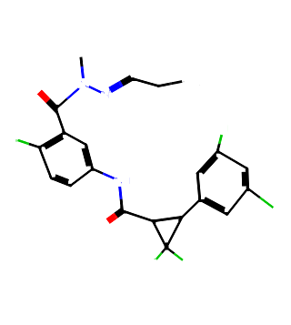 CN(N=CCC(F)(F)F)C(=O)c1cc(NC(=O)C2C(c3cc(Cl)cc(Cl)c3)C2(Cl)Cl)ccc1Cl